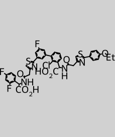 CCOc1ccc(-c2nc(CC(=O)NC(C(=O)O)c3cccc(-c4cc(F)cc(-c5nc(CC(=O)NC(C(=O)O)c6ccc(F)cc6F)cs5)c4)c3Cl)cs2)cc1